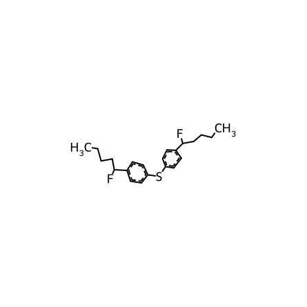 CCCCC(F)c1ccc(Sc2ccc(C(F)CCCC)cc2)cc1